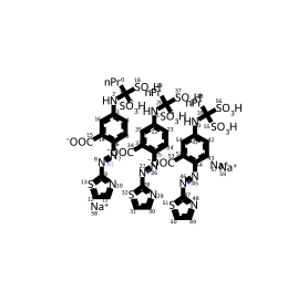 CCCC(Nc1ccc(/N=N/c2nccs2)c(C(=O)[O-])c1)(S(=O)(=O)O)S(=O)(=O)O.CCCC(Nc1ccc(/N=N/c2nccs2)c(C(=O)[O-])c1)(S(=O)(=O)O)S(=O)(=O)O.CCCC(Nc1ccc(/N=N/c2nccs2)c(C(=O)[O-])c1)(S(=O)(=O)O)S(=O)(=O)O.[Na+].[Na+].[Na+]